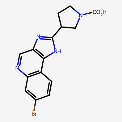 O=C(O)N1CCC(c2nc3cnc4cc(Br)ccc4c3[nH]2)C1